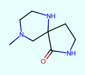 CN1CCNC2(CCNC2=O)C1